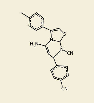 Cc1ccc(C2=CSC3N2C(N)=CC(c2ccc(C#N)cc2)N3C#N)cc1